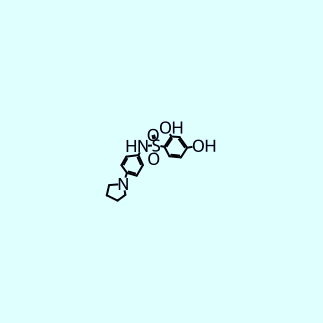 O=S(=O)(Nc1ccc(N2CCCC2)cc1)c1ccc(O)cc1O